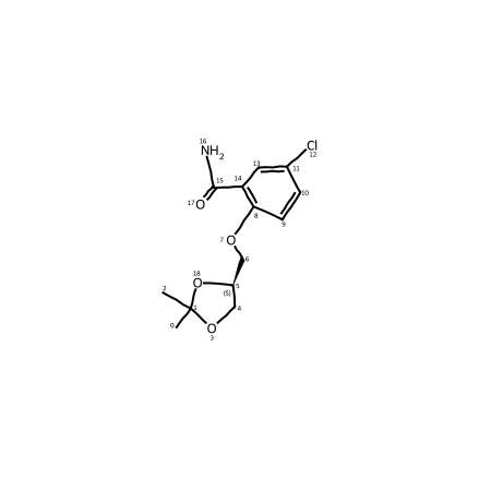 CC1(C)OC[C@H](COc2ccc(Cl)cc2C(N)=O)O1